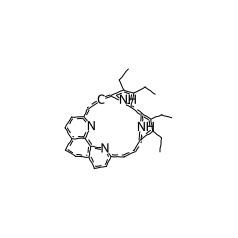 CCc1c(CC)c2[nH]c1ccc1ccc3ccc4ccc(ccc5[nH]c2c(CC)c5CC)nc4c3n1